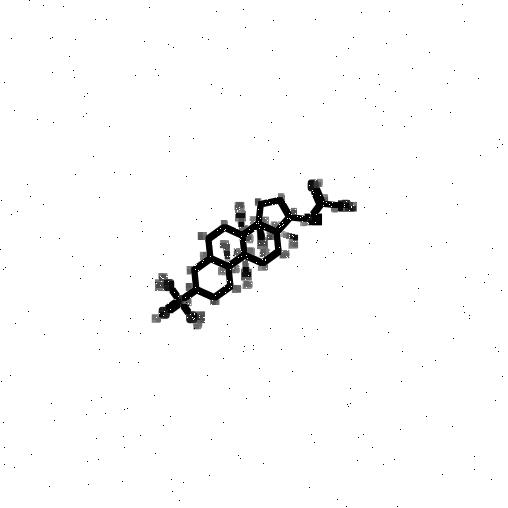 CC(C)(C)C(=O)NC1CC[C@H]2[C@@H]3CCC4CC(P(=O)(O)O)CC[C@]4(C)[C@@H]3CC[C@]12C